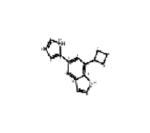 c1ncc(-c2cc(C3CCC3)c3[nH]ccc3c2)[nH]1